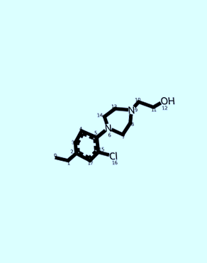 CCc1ccc(N2CCN(CCO)CC2)c(Cl)c1